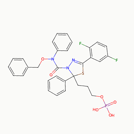 O=C(N(OCc1ccccc1)c1ccccc1)N1N=C(c2cc(F)ccc2F)SC1(CCCOP(=O)(O)O)c1ccccc1